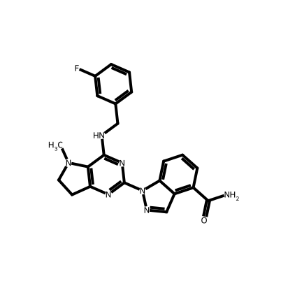 CN1CCc2nc(-n3ncc4c(C(N)=O)cccc43)nc(NCc3cccc(F)c3)c21